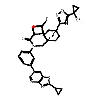 O=C(N(CC12CCC(c3noc(C4(C(F)(F)F)CC4)n3)(CC1)CC2)c1cccc(-c2cnc3nc(C4CC4)sc3c2)c1)C12CC(F)(C1)C2